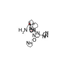 CN1CCC[C@H]1COc1cc(-c2cn(C)nn2)nc(-c2onc3c2CCC[C@@]32CCCc3sc(N)c(C#N)c32)n1